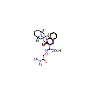 CCN(CC)C(=O)CO/N=C(\C(=O)O)c1nc2ccccc2n([C@H]2C[C@H]3CCC[C@@H](C2)N3[C@H]2C[C@@H]3CCC[C@@H](C3)C2)c1=O